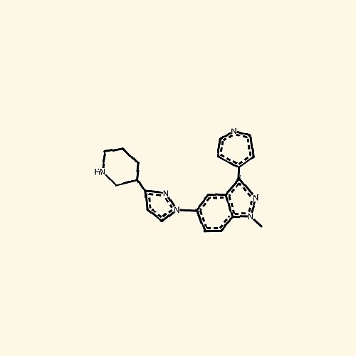 Cn1nc(-c2ccncc2)c2cc(-n3ccc(C4CCCNC4)n3)ccc21